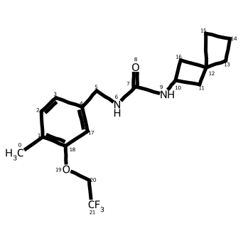 Cc1ccc(CNC(=O)NC2CC3(CCC3)C2)cc1OCC(F)(F)F